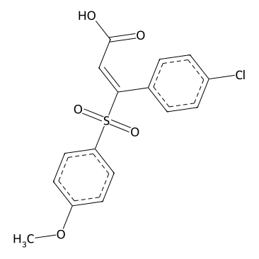 COc1ccc(S(=O)(=O)/C(=C/C(=O)O)c2ccc(Cl)cc2)cc1